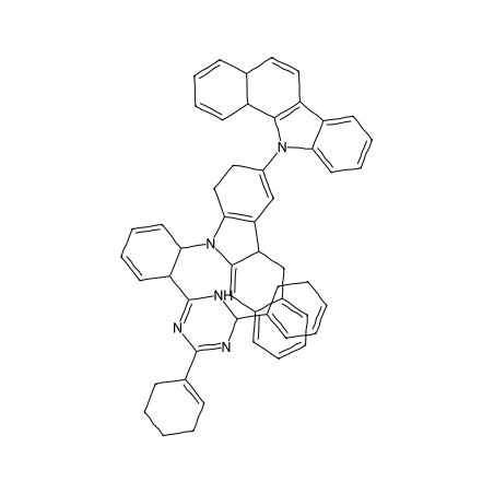 C1=CCCC(C2N=C(C3=CCCCC3)N=C(C3C=CC=CC3N3C4=Cc5ccccc5CC4C4=C3CCC(n3c5c(c6ccccc63)C=CC3C=CC=CC53)=C4)N2)=C1